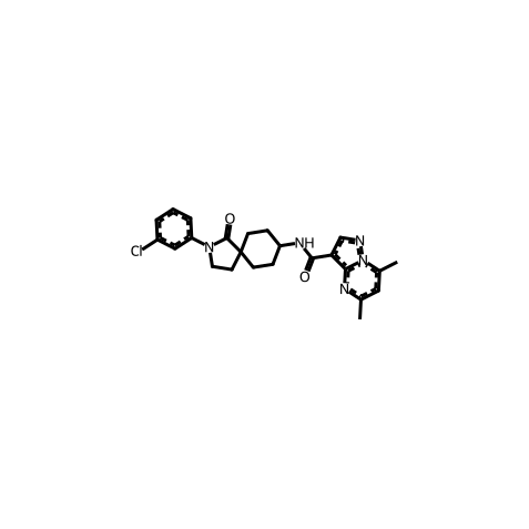 Cc1cc(C)n2ncc(C(=O)NC3CCC4(CC3)CCN(c3cccc(Cl)c3)C4=O)c2n1